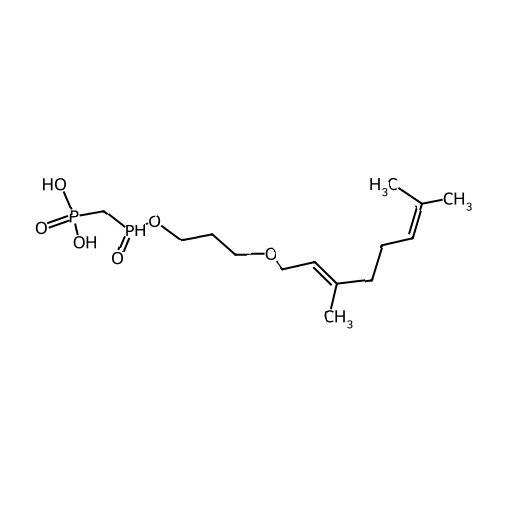 CC(C)=CCCC(C)=CCOCCCO[PH](=O)CP(=O)(O)O